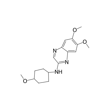 COc1cc2ncc(NC3CCC(OC)CC3)nc2cc1OC